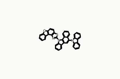 c1ccc2c(c1)oc1ccc3sc(-n4c5ccccc5c5cc(-n6c7ccccc7c7ccccc76)c6ccccc6c54)nc3c12